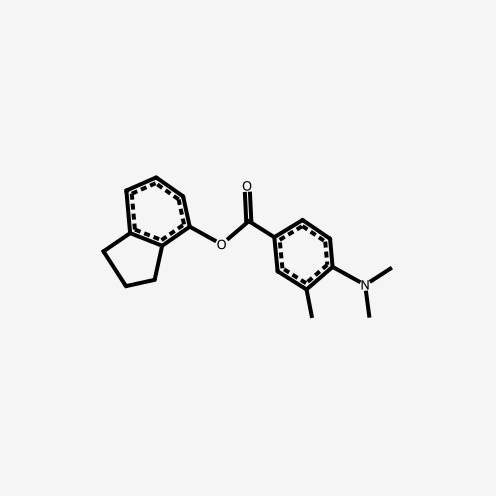 Cc1cc(C(=O)Oc2cccc3c2CCC3)ccc1N(C)C